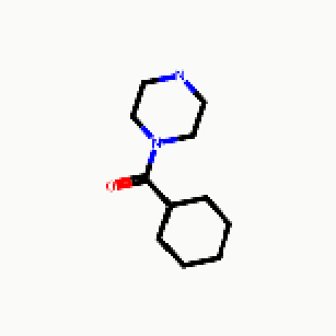 O=C(C1CCCCC1)N1CC[N]CC1